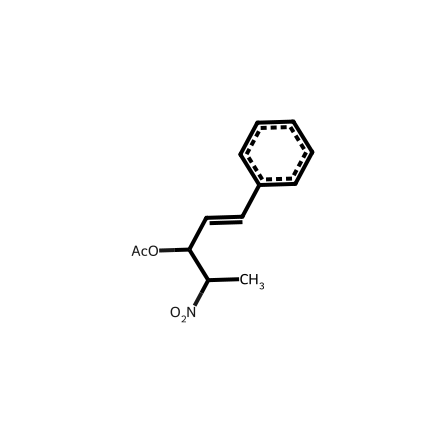 CC(=O)OC(C=Cc1ccccc1)C(C)[N+](=O)[O-]